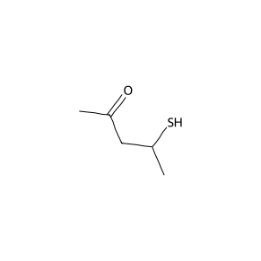 CC(=O)CC(C)S